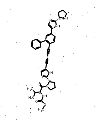 COC(=O)N[C@H](C(=O)N1CCC[C@H]1c1ncc(C#CC#Cc2ccc(-c3cnc([C@@H]4CCCN4)[nH]3)cc2-c2ccccc2)[nH]1)C(C)C